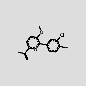 C=C(C)c1ccc(OC)c(-c2ccc(F)c(Cl)c2)n1